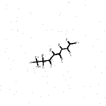 FC(F)C(F)C(F)C(F)C(F)C(F)C(F)(F)C(F)(F)S